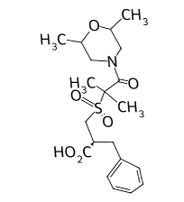 CC1CN(C(=O)C(C)(C)S(=O)(=O)C[C@@H](Cc2ccccc2)C(=O)O)CC(C)O1